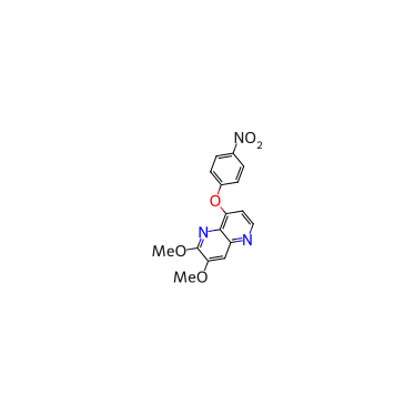 COc1cc2nccc(Oc3ccc([N+](=O)[O-])cc3)c2nc1OC